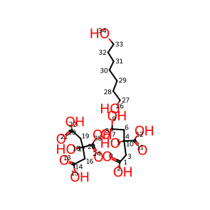 O=C(O)CC(O)(CC(=O)O)C(=O)O.O=C(O)CC(O)(CC(=O)O)C(=O)O.OCCCCCCCO